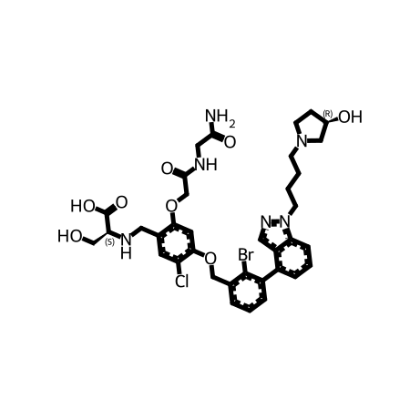 NC(=O)CNC(=O)COc1cc(OCc2cccc(-c3cccc4c3cnn4CCCCN3CC[C@@H](O)C3)c2Br)c(Cl)cc1CN[C@@H](CO)C(=O)O